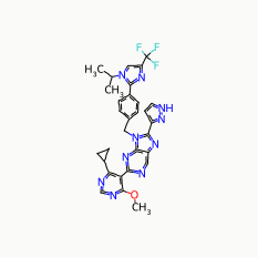 COc1ncnc(C2CC2)c1-c1ncc2nc(-c3cc[nH]n3)n(Cc3ccc(-c4nc(C(F)(F)F)cn4C(C)C)cc3)c2n1